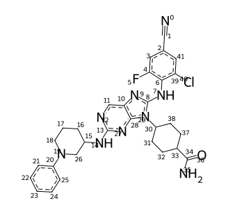 N#Cc1cc(F)c(Nc2nc3cnc(NC4CCCN(c5ccccc5)C4)nc3n2C2CCC(C(N)=O)CC2)c(Cl)c1